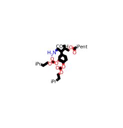 CCCC(C)C(=O)OCC(C)C(c1ccc(OC(=O)OCCC(C)C)c(OC(=O)OCCC(C)C)c1)[C@H](N)C(=O)O